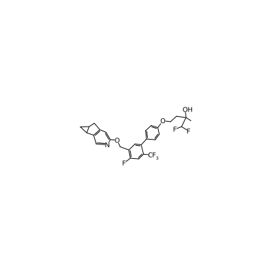 CC(O)(CCOc1ccc(-c2cc(COc3cc4c(cn3)C3CC3C4)c(F)cc2C(F)(F)F)cc1)C(F)F